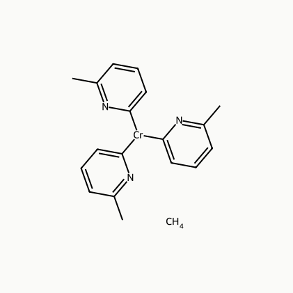 C.Cc1ccc[c]([Cr]([c]2cccc(C)n2)[c]2cccc(C)n2)n1